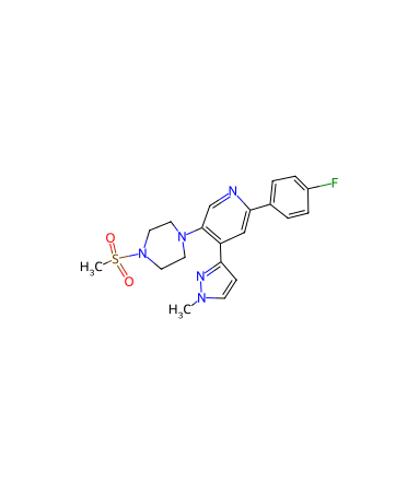 Cn1ccc(-c2cc(-c3ccc(F)cc3)ncc2N2CCN(S(C)(=O)=O)CC2)n1